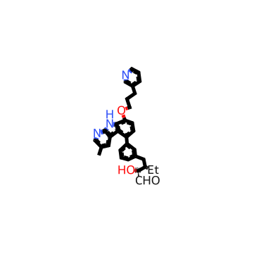 CCC(Cc1cccc(-c2ccc(OCCCc3cccnc3)c3[nH]c4ncc(C)cc4c23)c1)[C@@H](O)C=O